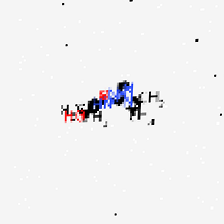 CC1CC(C)CN(c2cc(NC(=O)c3ccc(C(C)(C)O)cc3)nc3ccnn23)C1